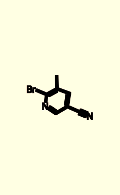 Cc1cc(C#N)cnc1Br